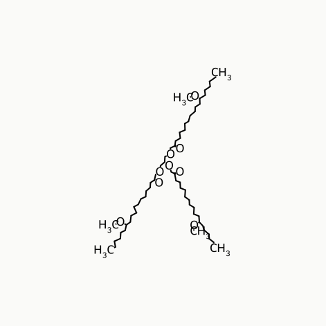 CCCCCCC(CCCCCCCCCCC(=O)COCC(COCC(=O)CCCCCCCCCCC(CCCCCC)OC)OCC(=O)CCCCCCCCCCC(CCCCCC)OC)OC